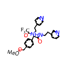 COOCc1ccc(C(C(=O)NCCc2cccnc2)N(CCc2ccncc2)C(=O)C(F)(F)F)cc1